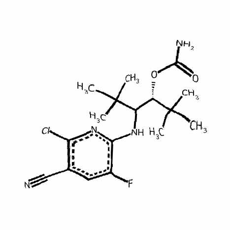 CC(C)(C)C(Nc1nc(Cl)c(C#N)cc1F)[C@H](OC(N)=O)C(C)(C)C